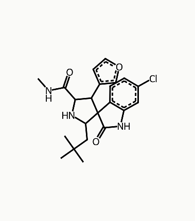 CNC(=O)C1NC(CC(C)(C)C)C2(C(=O)Nc3cc(Cl)ccc32)C1c1ccoc1